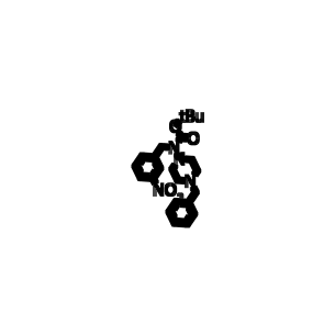 CC(C)(C)OC(=O)N(Cc1cccc([N+](=O)[O-])c1)N1CCN(Cc2ccccc2)CC1